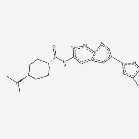 Cc1nnc(-c2ccc3nnc(NC(=O)[C@H]4CC[C@H](N(C)C)CC4)cc3c2)s1